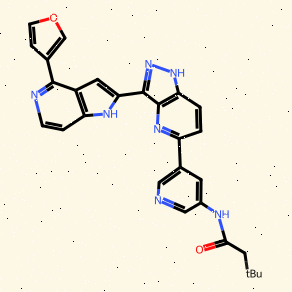 CC(C)(C)CC(=O)Nc1cncc(-c2ccc3[nH]nc(-c4cc5c(-c6ccoc6)nccc5[nH]4)c3n2)c1